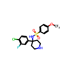 O=S(=O)(NC1(c2ccc(Cl)c(F)c2)CCNCC1)c1ccc(OC(F)(F)F)cc1